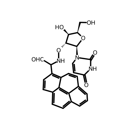 O=CC(NO[C@@H]1[C@@H](O)[C@@H](CO)O[C@H]1n1ccc(=O)[nH]c1=O)c1ccc2ccc3cccc4ccc1c2c34